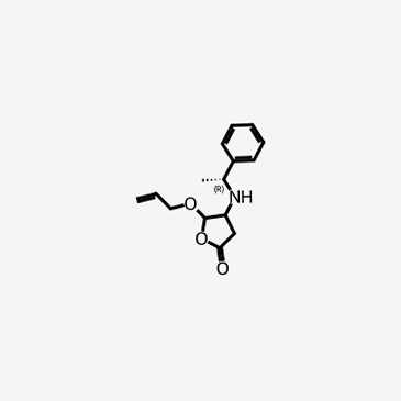 C=CCOC1OC(=O)CC1N[C@H](C)c1ccccc1